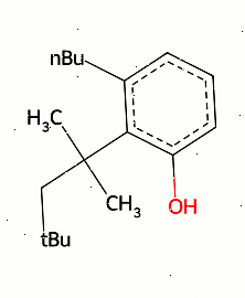 CCCCc1cccc(O)c1C(C)(C)CC(C)(C)C